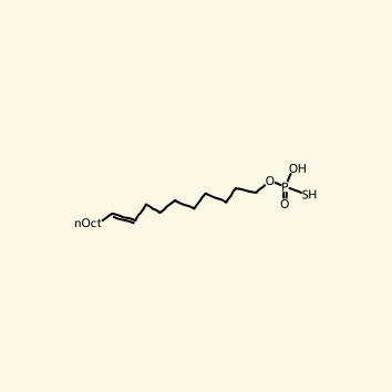 CCCCCCCC/C=C/CCCCCCCCOP(=O)(O)S